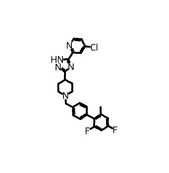 Cc1cc(F)cc(F)c1-c1ccc(CN2CCC(c3n[nH]c(-c4cc(Cl)ccn4)n3)CC2)cc1